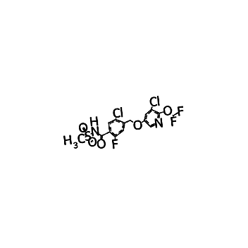 CS(=O)(=O)NC(=O)c1cc(Cl)c(COc2cnc(OC(F)F)c(Cl)c2)cc1F